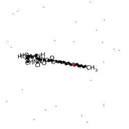 C#C[C@]1(CO)O[C@@H](n2cnc3c(NC(=O)OCC(=O)OCCCCCCCCCCCCCCCC)nc(Cl)nc32)C[C@@H]1O